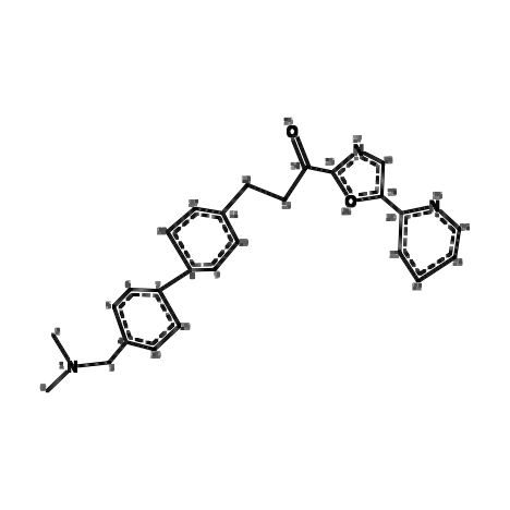 CN(C)Cc1ccc(-c2ccc(CCC(=O)c3ncc(-c4ccccn4)o3)cc2)cc1